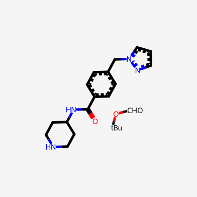 CC(C)(C)OC=O.O=C(NC1CCNCC1)c1ccc(Cn2cccn2)cc1